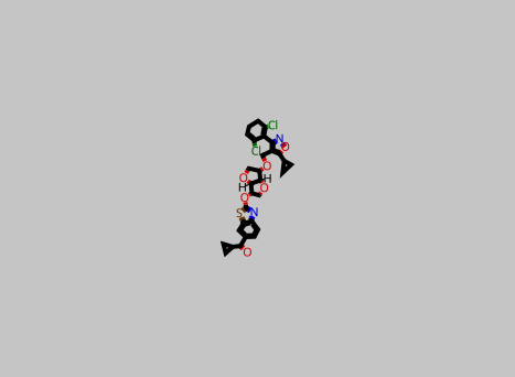 O=C(c1ccc2nc(OC3CO[C@@H]4C(OCc5c(C6=C(Cl)CCC=C6Cl)noc5C5CC5)CO[C@H]34)sc2c1)C1CC1